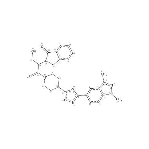 Cc1nn(C)c2cc(-c3noc(C4CCN(C(=O)C(CO)N5Cc6ccccc6C5=O)CC4)n3)ccc12